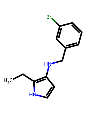 CCc1[nH]ccc1NCc1cccc(Br)c1